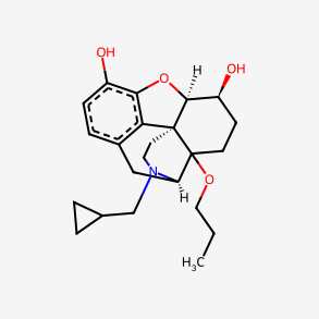 CCCOC12CC[C@H](O)[C@@H]3Oc4c(O)ccc5c4[C@@]31CCN(CC1CC1)[C@@H]2C5